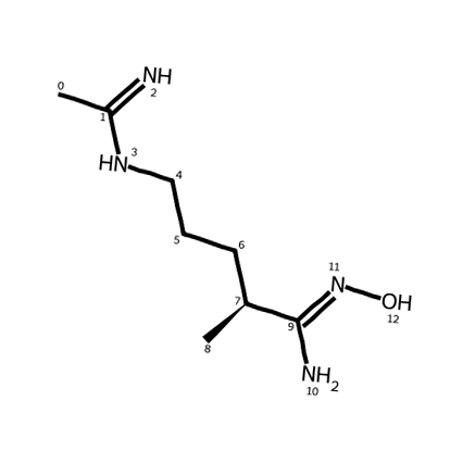 CC(=N)NCCC[C@H](C)/C(N)=N/O